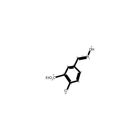 CCOC(=O)c1cc(/C=N/O)ccc1Cl